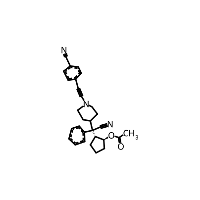 CC(=O)O[C@H]1CCC[C@@H]1C(C#N)(c1ccccc1)C1CCN(C#Cc2ccc(C#N)cc2)CC1